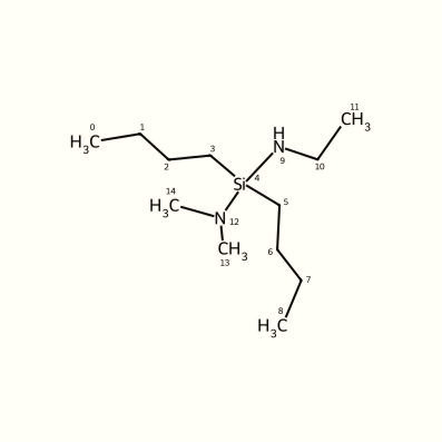 CCCC[Si](CCCC)(NCC)N(C)C